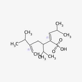 C/C=C(\CC(/C(=C/C(C)C)S(=O)(=O)O)C(C)C)C(C)C